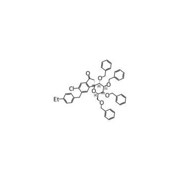 CCc1ccc(Cc2cc3c(cc2Cl)C(=O)C[C@]32O[C@H](COCc3ccccc3)[C@@H](OCc3ccccc3)[C@H](OCc3ccccc3)[C@H]2OCc2ccccc2)cc1